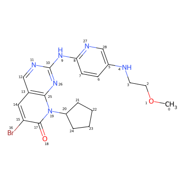 COCCNc1ccc(Nc2ncc3cc(Br)c(=O)n(C4CCCC4)c3n2)nc1